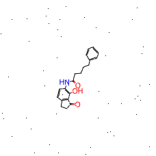 O=C(CCCCc1ccccc1)Nc1ccc2c(c1O)C(=O)CC2